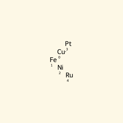 [Cu].[Fe].[Ni].[Pt].[Ru]